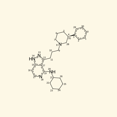 c1ccc([C@@H]2CCCN(CCCc3n[nH]c4ccnc(NC5CCCCC5)c34)C2)cc1